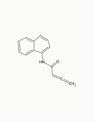 C=C=CC(=O)Nc1cccc2ccccc12